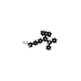 Cc1cc(-c2ccc(-c3ccc(-c4cc(-c5nc(-c6ccccc6)cc(-c6ccccc6)n5)cc(-c5c6ccccc6cc6ccccc56)c4)cc3)cc2)ccn1